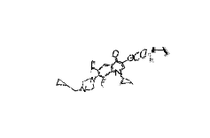 O=C(O)Oc1cn(C2CC2)c2c(F)c(N3CCN(CC4CC4)CC3)c(F)cc2c1=O